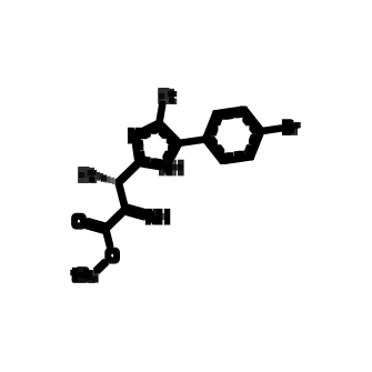 [CH2]Cc1nc([C@@H](CC)C(=N)C(=O)OC(C)(C)C)[nH]c1-c1ccc(Br)cc1